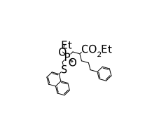 CCOC(=O)C(CCCc1ccccc1)CP(=O)(CSc1cccc2ccccc12)OCC